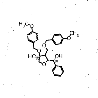 COc1ccc(COCC2C([C@H](O)c3ccccc3)OC[C@@]2(O)OCc2ccc(OC)cc2)cc1